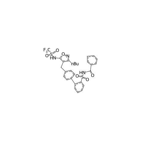 CCCCc1noc(NS(=O)(=O)C(F)(F)F)c1Cc1ccc(-c2ccccc2S(=O)(=O)NC(=O)c2ccccc2)cc1